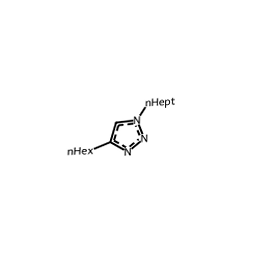 CCCCCCCn1cc(CCCCCC)nn1